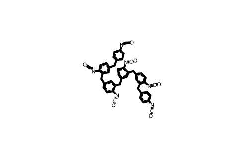 O=C=Nc1ccc(Cc2ccc(N=C=O)c(Cc3ccc(N=C=O)c(Cc4ccc(N=C=O)c(Cc5ccc(N=C=O)c(Cc6ccc(N=C=O)cc6)c5)c4)c3)c2)cc1